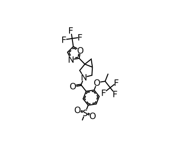 CC(Oc1ccc(S(C)(=O)=O)cc1C(=O)N1CC2CC2(c2ncc(C(F)(F)F)o2)C1)C(F)(F)F